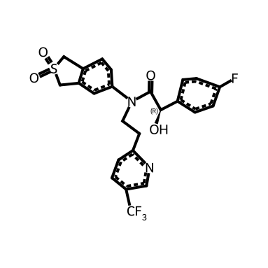 O=C([C@H](O)c1ccc(F)cc1)N(CCc1ccc(C(F)(F)F)cn1)c1ccc2c(c1)CS(=O)(=O)C2